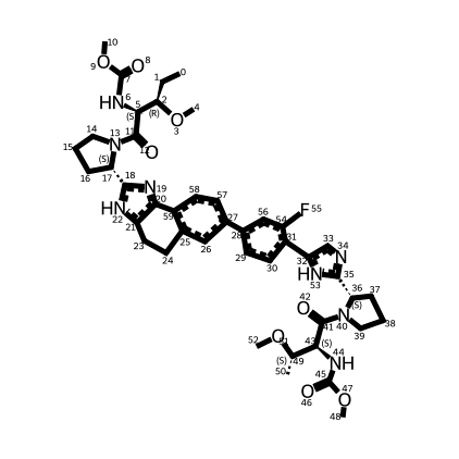 CC[C@@H](OC)[C@H](NC(=O)OC)C(=O)N1CCC[C@H]1c1nc2c([nH]1)CCc1cc(-c3ccc(-c4cnc([C@@H]5CCCN5C(=O)[C@@H](NC(=O)OC)[C@H](C)OC)[nH]4)c(F)c3)ccc1-2